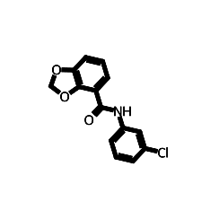 O=C(Nc1cccc(Cl)c1)c1cccc2c1OCO2